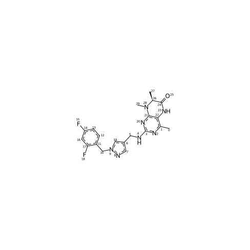 Cc1nc(NCc2cnn(Cc3ccc(F)cc3F)c2)nc2c1NC(=O)[C@H](C)N2C